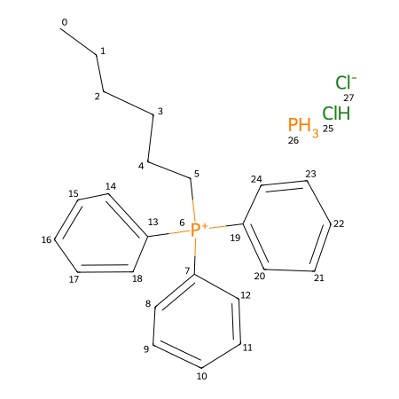 CCCCCC[P+](c1ccccc1)(c1ccccc1)c1ccccc1.Cl.P.[Cl-]